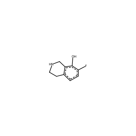 Oc1c(F)ccc2c1CNCC2